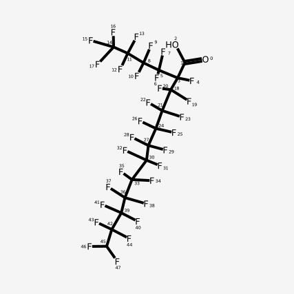 O=C(O)C(F)(C(F)(F)C(F)(F)C(F)(F)C(F)(F)F)C(F)(F)C(F)(F)C(F)(F)C(F)(F)C(F)(F)C(F)(F)C(F)(F)C(F)(F)C(F)(F)C(F)F